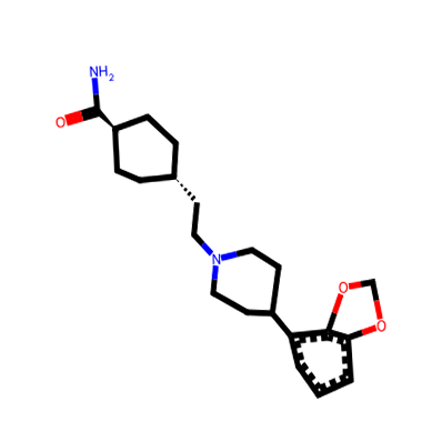 NC(=O)[C@H]1CC[C@H](CCN2CCC(c3cccc4c3OCO4)CC2)CC1